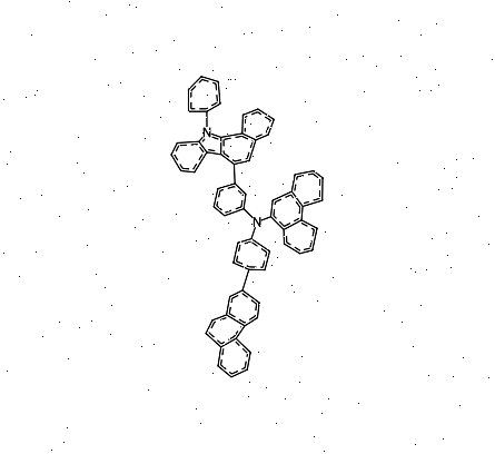 c1ccc(-n2c3ccccc3c3c(-c4cccc(N(c5ccc(-c6ccc7c(ccc8ccccc87)c6)cc5)c5cc6ccccc6c6ccccc56)c4)cc4ccccc4c32)cc1